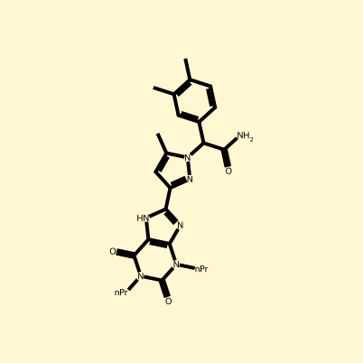 CCCn1c(=O)c2[nH]c(-c3cc(C)n(C(C(N)=O)c4ccc(C)c(C)c4)n3)nc2n(CCC)c1=O